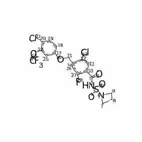 O=C(NS(=O)(=O)N1CCC1)c1cc(Cl)c(COc2ccc(Cl)c(OC(F)(F)F)c2)cc1F